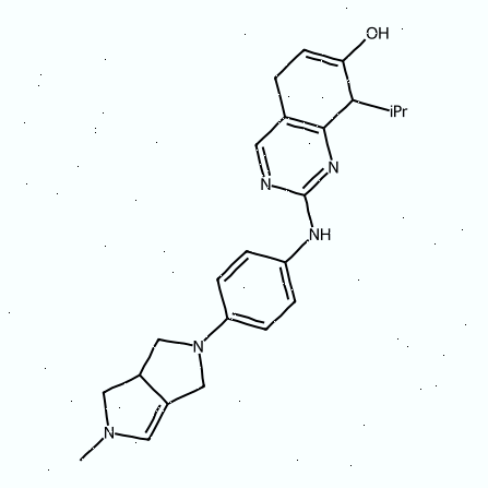 CC(C)C1C(O)=CCc2cnc(Nc3ccc(N4CC5=CN(C)CC5C4)cc3)nc21